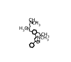 CN(C)CCN(C)Cc1ccc2c(c1)/C(=C/C(=O)c1ccccc1)NC(C)(C)C2